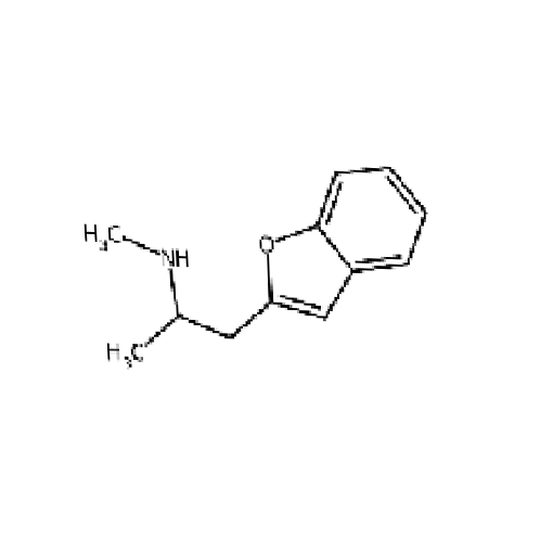 CNC(C)Cc1cc2ccccc2o1